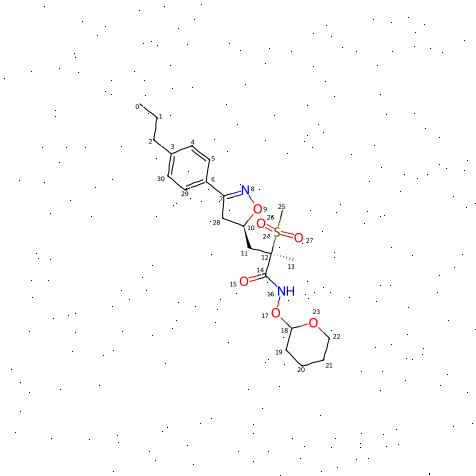 CCCc1ccc(C2=NO[C@@H](C[C@](C)(C(=O)NOC3CCCCO3)S(C)(=O)=O)C2)cc1